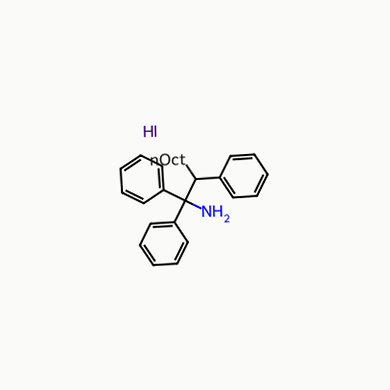 CCCCCCCCC(c1ccccc1)C(N)(c1ccccc1)c1ccccc1.I